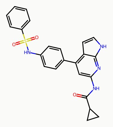 O=C(Nc1cc(-c2ccc(NS(=O)(=O)c3ccccc3)cc2)c2cc[nH]c2n1)C1CC1